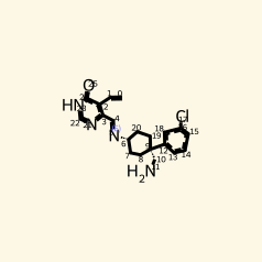 C=Cc1c(/C=N/[C@H]2CC[C@](CN)(c3cccc(Cl)c3)CC2)nc[nH]c1=O